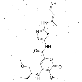 CC[C@@H](COC)Nc1cc(C(=O)Nc2nnc(N/C(C)=C\C=N)s2)oc(=O)c1OC